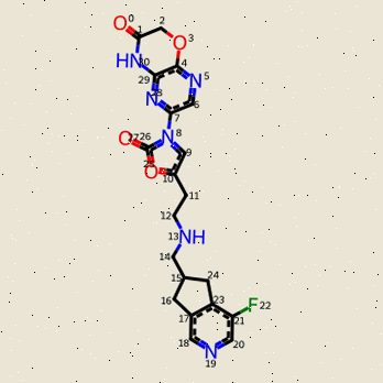 O=C1COc2ncc(-n3cc(CCNCC4Cc5cncc(F)c5C4)oc3=O)nc2N1